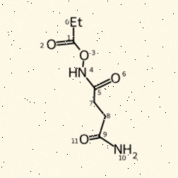 CCC(=O)ONC(=O)CCC(N)=O